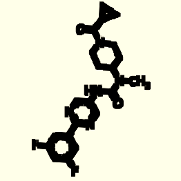 CN(C(=O)Nc1cnc(-c2cc(F)cc(F)c2)nc1)C1CCN(C(=O)C2CC2)CC1